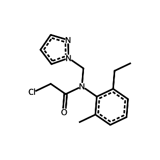 CCc1cccc(C)c1N(Cn1cccn1)C(=O)CCl